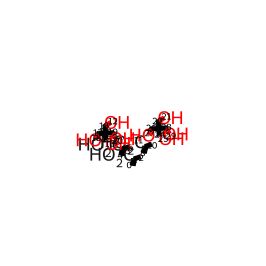 C=C(C)C(=O)O.C=C(C)C(=O)O.C=C(C)C(=O)O.OCC(CO)(CO)CO.OCC(CO)(CO)CO